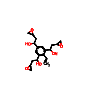 C=Cc1c(C(O)CC2CO2)cc(C(O)CC2CO2)cc1C(O)CC1CO1